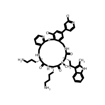 Cc1[nH]c2ccccc2c1CC[C@H]1C(=O)NCc2cc(-c3ccnc(Cl)c3)cc(Cl)c2Sc2ncccc2CN[C@@H](CCCN)C(=O)N[C@@H](CCCCN)C(=O)N1C